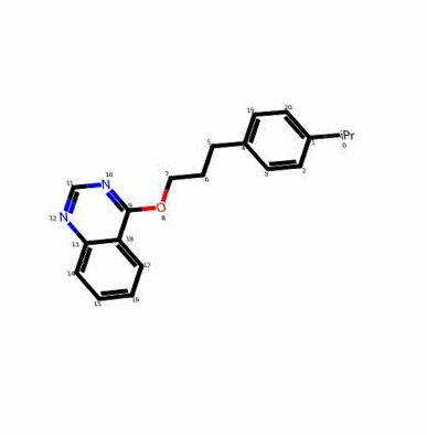 CC(C)c1ccc(CCCOc2ncnc3ccccc23)cc1